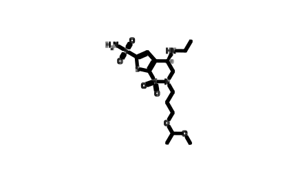 CCN[C@H]1CN(CCCOC(C)OC)S(=O)(=O)c2sc(S(N)(=O)=O)cc21